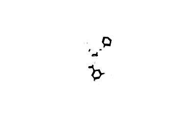 CCCCOC[C@@H](ONC(=O)c1cc(C(F)(F)F)cc(C(F)(F)F)c1)C(=O)NOc1ccccc1